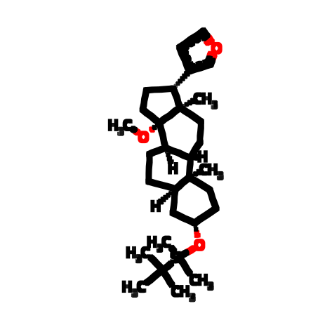 CO[C@]12CC[C@H](c3ccoc3)[C@@]1(C)CC[C@H]1[C@H]2CC[C@@H]2C[C@@H](O[Si](C)(C)C(C)(C)C)CC[C@@]21C